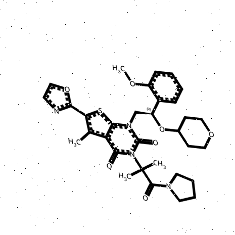 COc1ccccc1[C@H](Cn1c(=O)n(C(C)(C)C(=O)N2CCCC2)c(=O)c2c(C)c(-c3ncco3)sc21)OC1CCOCC1